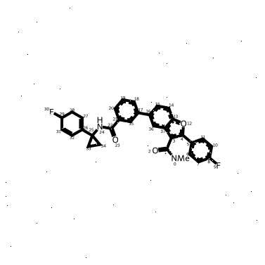 CNC(=O)c1c(-c2ccc(F)cc2)oc2ccc(-c3cccc(C(=O)NC4(C5=CCC(F)C=C5)CC4)c3)cc12